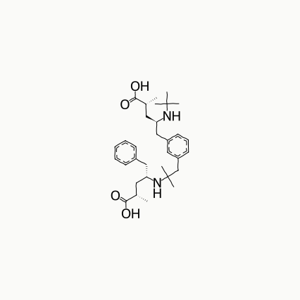 C[C@H](C[C@H](Cc1cccc(CC(C)(C)N[C@@H](Cc2ccccc2)C[C@H](C)C(=O)O)c1)NC(C)(C)C)C(=O)O